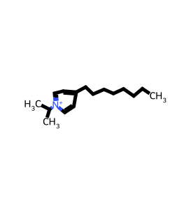 CCCCCCCCc1cc[n+](C(C)C)cc1